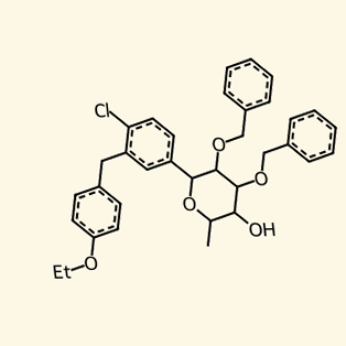 CCOc1ccc(Cc2cc(C3OC(C)C(O)C(OCc4ccccc4)C3OCc3ccccc3)ccc2Cl)cc1